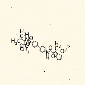 COC(=O)C(NS(=O)(=O)c1ccc(-c2ccc(NC(=O)c3oc4cccc(OCC5CC5)c4c3C)cc2)cc1)C(C)C